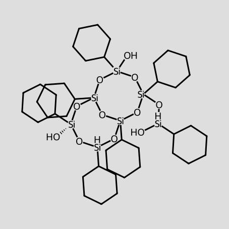 O[SiH](O[Si]1(C2CCCCC2)O[Si](O)(C2CCCCC2)O[Si]2(C3CCCCC3)O[Si](C3CCCCC3)(O[SiH](C3CCCCC3)O[Si@@](O)(C3CCCCC3)O2)O1)C1CCCCC1